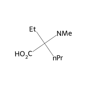 CCCC(CC)(NC)C(=O)O